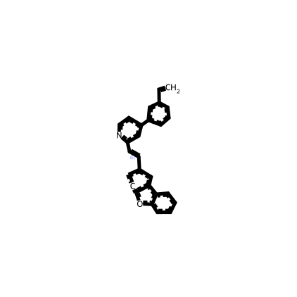 C=Cc1cccc(-c2ccnc(/C=C/c3ccc4oc5ccccc5c4c3)c2)c1